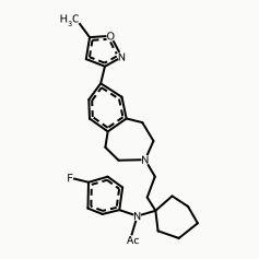 CC(=O)N(c1ccc(F)cc1)C1(CCN2CCc3ccc(-c4cc(C)on4)cc3CC2)CCCCC1